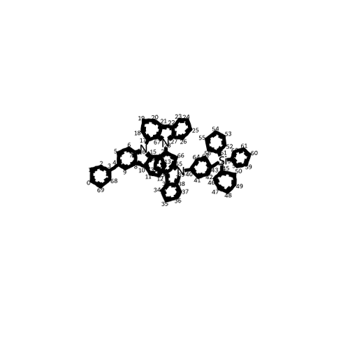 c1ccc(-c2ccc3c(c2)c2ccccc2n3-c2cccc3c4ccccc4n(-c4ccc5c6ccccc6n(-c6ccc([Si](c7ccccc7)(c7ccccc7)c7ccccc7)cc6)c5c4)c23)cc1